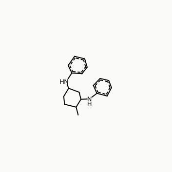 CC1CCC(Nc2ccccc2)CC1Nc1ccccc1